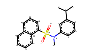 CC(C)c1cccc(N(C)S(=O)(=O)c2cccc3ccccc23)c1